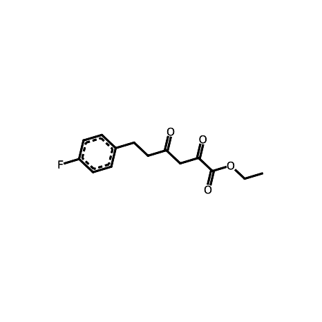 CCOC(=O)C(=O)CC(=O)CCc1ccc(F)cc1